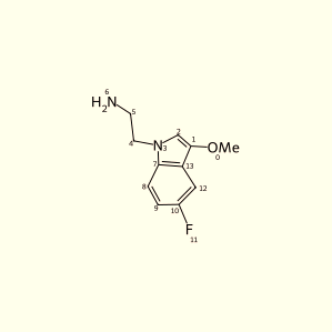 COc1cn(CCN)c2ccc(F)cc12